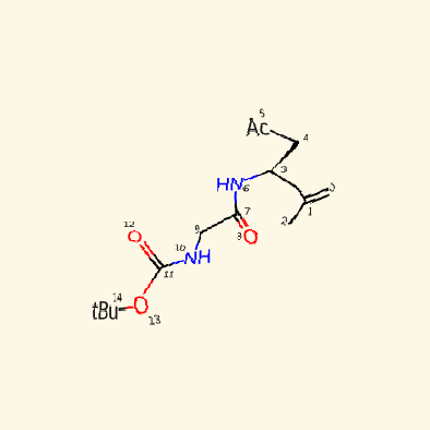 C=C(C)[C@H](CC(C)=O)NC(=O)CNC(=O)OC(C)(C)C